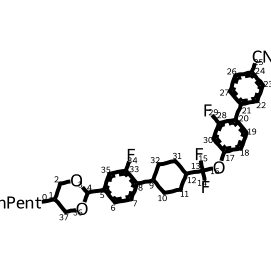 CCCCCC1COC(c2ccc(C3CCC(C(F)(F)Oc4ccc(-c5ccc(C#N)cc5)c(F)c4)CC3)c(F)c2)OC1